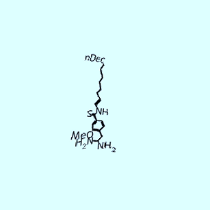 CCCCCCCCCCCCCCCCC=CNC(=S)c1ccc(CC(N)N)c(OC)c1